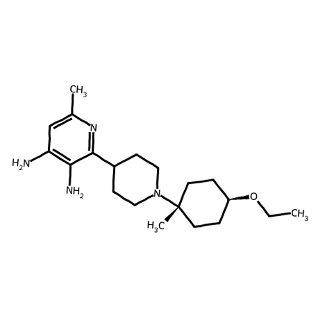 CCO[C@H]1CC[C@](C)(N2CCC(c3nc(C)cc(N)c3N)CC2)CC1